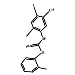 Cc1ccccc1NC(=N)Nc1cc(O)c(I)cc1I